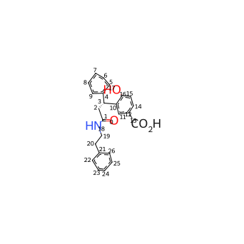 O=C(C[C@H](c1ccccc1)c1cc(C(=O)O)ccc1O)NCCc1ccccc1